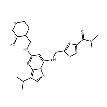 CC(C)c1cnn2c(NCc3nc(C(=O)N(C)C)cs3)cc(NCC3CCNC[C@@H]3O)nc12